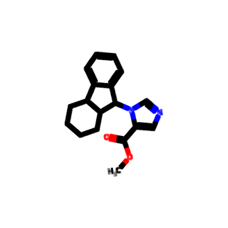 COC(=O)c1cncn1C1c2ccccc2C2CCCCC21